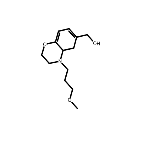 COCCCN1CCOC2=CC=C(CO)CC21